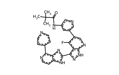 CC(C)(C)C(=O)Nc1cncc(-c2cnc3[nH]nc(-c4nc5c(-c6ccncc6)nccc5[nH]4)c3c2F)c1